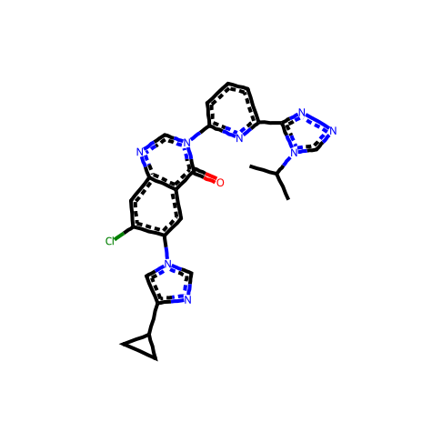 CC(C)n1cnnc1-c1cccc(-n2cnc3cc(Cl)c(-n4cnc(C5CC5)c4)cc3c2=O)n1